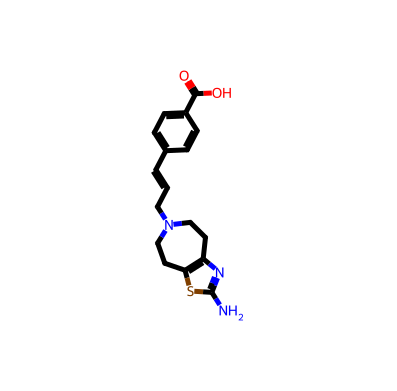 Nc1nc2c(s1)CCN(CC=Cc1ccc(C(=O)O)cc1)CC2